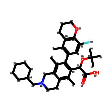 Cc1c(-c2c(C)c3c(c(C)c2C(OC(C)(C)C)C(=O)O)CCN(CC2CCCCC2)C3)cc(F)c2c1CCCO2